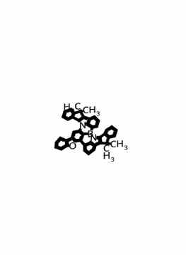 CC1(C)c2ccccc2-c2c1c1cccc3c1n2B1c2c(cc4c(oc5ccccc54)c2-3)-n2c3c(c4cccc1c42)C(C)(C)c1ccccc1-3